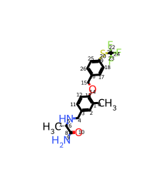 Cc1cc(CN[C@@H](C)C(N)=O)ccc1OCc1ccc(SC(F)(F)F)cc1